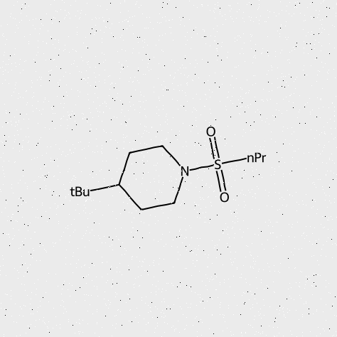 CCCS(=O)(=O)N1CCC(C(C)(C)C)CC1